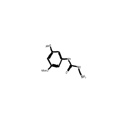 COc1cc(NC(=O)NN)cc(OC)c1